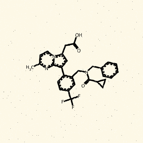 Cc1ccn2c(CC(=O)O)cc(-c3ccc(C(F)(F)F)cc3CN(Cc3ccccc3)C(=O)C3CC3)c2n1